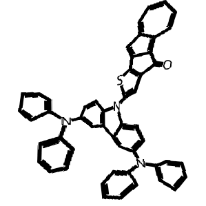 O=C1c2cc(-n3c4ccc(N(c5ccccc5)c5ccccc5)cc4c4cc(N(c5ccccc5)c5ccccc5)ccc43)sc2-c2cc3cccccc-3c21